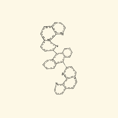 c1cnc2c(c1)ccc1ccc(-c3c4ccccc4c(-c4ccc5ccc6cccnc6c5n4)c4ccccc34)nc12